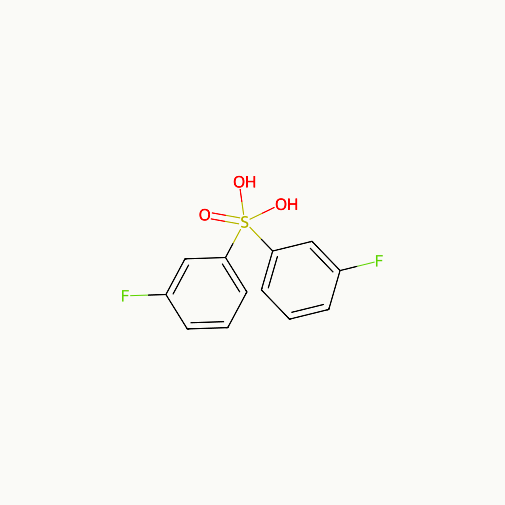 O=S(O)(O)(c1cccc(F)c1)c1cccc(F)c1